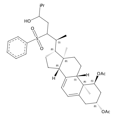 CC(=O)O[C@@H]1CC2=CC=C3[C@@H]4CC[C@H]([C@H](C)C(CC(O)C(C)C)S(=O)(=O)c5ccccc5)[C@@]4(C)CC[C@@H]3[C@@]2(C)[C@@H](OC(C)=O)C1